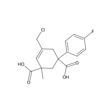 CC1(C(=O)O)C=C(CCl)CC(C(=O)O)(c2ccc(F)cc2)C1